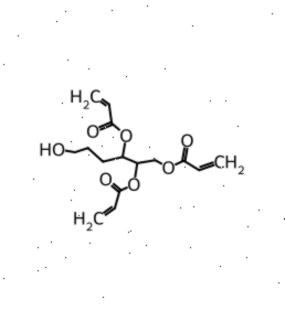 C=CC(=O)OCC(OC(=O)C=C)C(CCCO)OC(=O)C=C